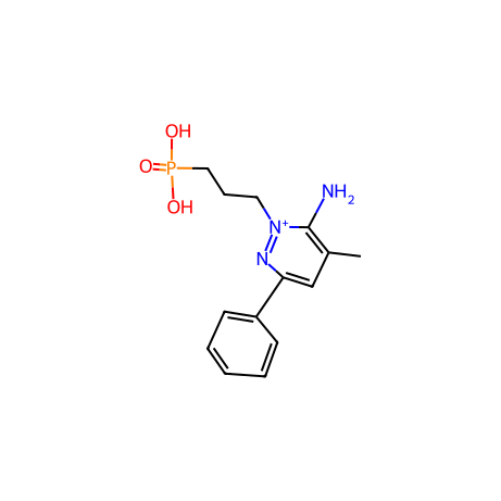 Cc1cc(-c2ccccc2)n[n+](CCCP(=O)(O)O)c1N